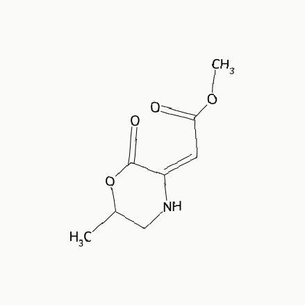 COC(=O)/C=C1/NCC(C)OC1=O